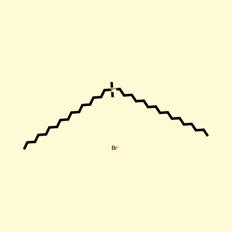 CCCCCCCCCCCCCCCC[P+](C)(C)CCCCCCCCCCCCCCCC.[Br-]